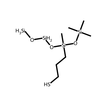 C[Si](C)(C)O[Si](C)(CCCS)O[SiH2]O[SiH3]